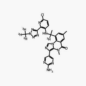 [2H]C(C)(Nc1ccc(Cl)nc1-c1nnn(C([2H])([2H])[2H])n1)c1cc(C)cc2c(=O)n(C)c3c(-c4cnc(N)nc4)ncn3c12